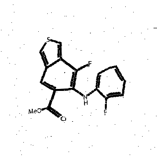 COC(=O)c1cc2cscc2c(F)c1Nc1ccccc1F